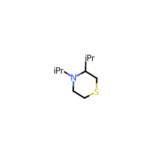 CC(C)C1CSCCN1C(C)C